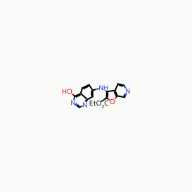 CCOC(=O)c1oc2cnccc2c1Nc1ccc2c(O)ncnc2c1